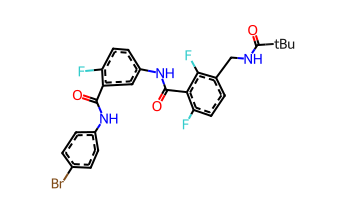 CC(C)(C)C(=O)NCc1ccc(F)c(C(=O)Nc2ccc(F)c(C(=O)Nc3ccc(Br)cc3)c2)c1F